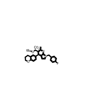 Cc1nc2c(ccn2Cc2ccc(F)cc2)c(-c2ccc3c(c2)CCCO3)c1[C@H](OC(C)(C)C)C(=O)O